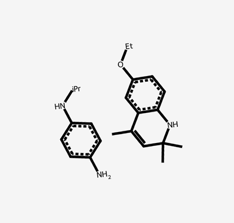 CC(C)Nc1ccc(N)cc1.CCOc1ccc2c(c1)C(C)=CC(C)(C)N2